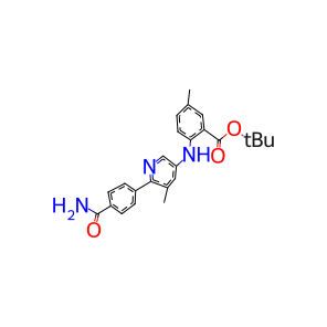 Cc1ccc(Nc2cnc(-c3ccc(C(N)=O)cc3)c(C)c2)c(C(=O)OC(C)(C)C)c1